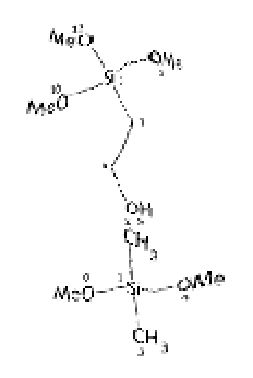 CO[Si](C)(C)OC.CO[Si](CCO)(OC)OC